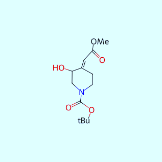 COC(=O)C=C1CCN(C(=O)OC(C)(C)C)CC1O